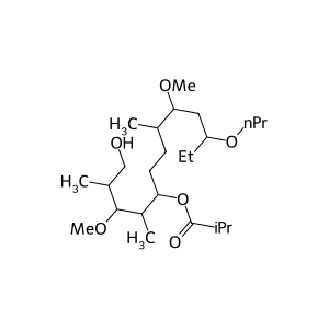 CCCOC(CC)CC(OC)C(C)CCC(OC(=O)C(C)C)C(C)C(OC)C(C)CO